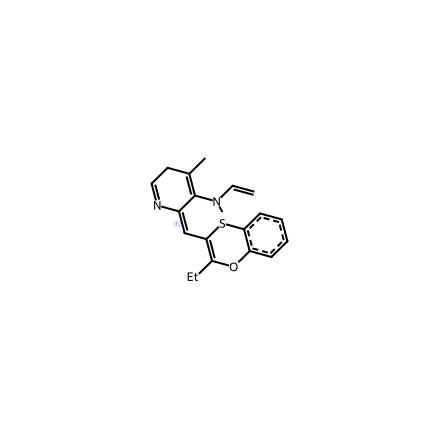 C=CN(C)C1=C(C)CC=N/C1=C/C1=C(CC)Oc2ccccc2S1